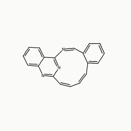 C1=Cc2nc(c3ccccc3n2)N=Cc2ccccc2C=C1